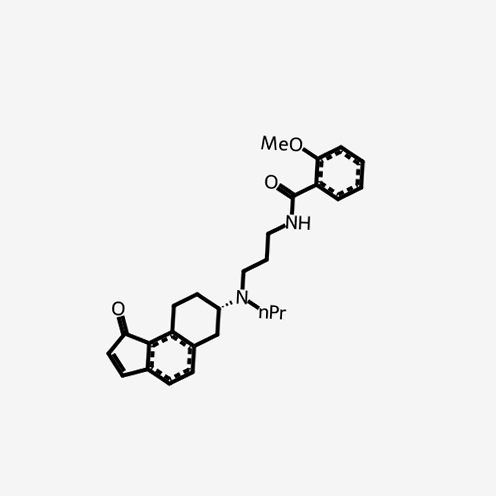 CCCN(CCCNC(=O)c1ccccc1OC)[C@H]1CCc2c(ccc3c2C(=O)C=C3)C1